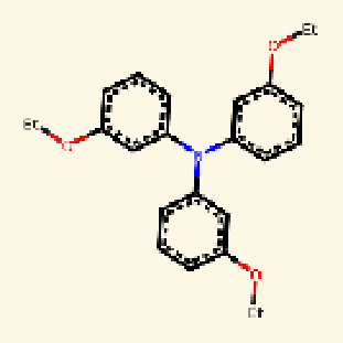 CCOc1cccc(N(c2cccc(OCC)c2)c2cccc(OCC)c2)c1